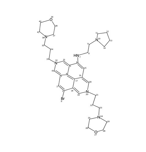 Brc1cc2c3c(c(NCCN4CCCC4)cc4c3c1=CN(CCCN1CCOCC1)C=4)=CN(CCCN1CCOCC1)C=2